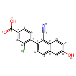 N#Cc1c(-c2ccc(C(=O)O)cc2F)ccc2cc(O)ccc12